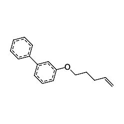 C=CCCCOc1cccc(-c2ccccc2)c1